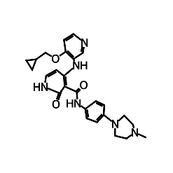 CN1CCN(c2ccc(NC(=O)c3c(Nc4cnccc4OCC4CC4)cc[nH]c3=O)cc2)CC1